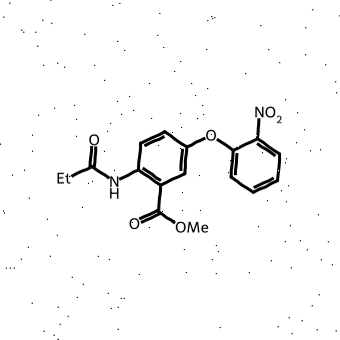 CCC(=O)Nc1ccc(Oc2ccccc2[N+](=O)[O-])cc1C(=O)OC